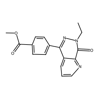 CCn1nc(-c2ccc(C(=O)OC)cc2)c2cccnc2c1=O